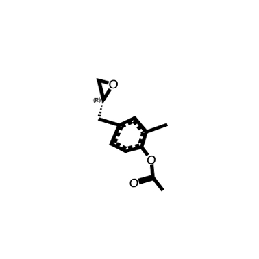 CC(=O)Oc1ccc(C[C@@H]2CO2)cc1C